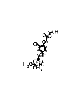 CCOC(=O)COc1ccc(NCC(=O)OC(C)(C)C)cc1Cl